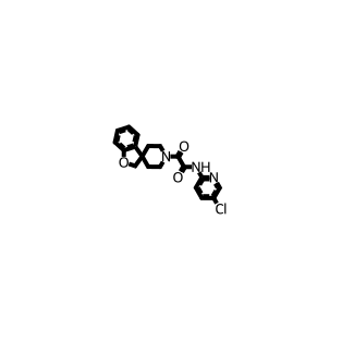 O=C(Nc1ccc(Cl)cn1)C(=O)N1CCC2(CC1)COc1ccccc12